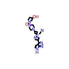 N#CC[C@]1(n2cc(-c3ncnc4[nH]ccc34)cn2)C[C@@H](N2CCN(C(=O)N3CC[C@H](O)C3)CC2)C1